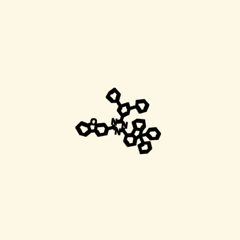 c1ccc(-c2cc(-c3ccccc3)cc(-c3nc(-c4ccc5c(c4)oc4ccccc45)nc(-c4cccc5c4-c4ccccc4C5(c4ccccc4)c4ccccc4)n3)c2)cc1